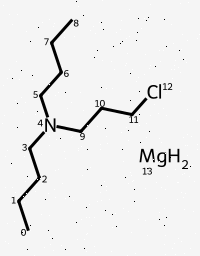 CCCCN(CCCC)CCCCl.[MgH2]